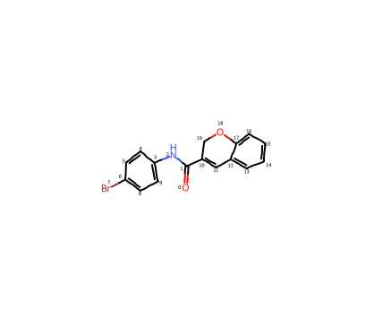 O=C(Nc1ccc(Br)cc1)C1=Cc2ccccc2OC1